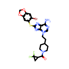 Nc1ncn(CCC2CCN(C(=O)C3CC3(F)F)CC2)c2nc(Sc3cc4c(cc3Br)OCO4)nc1-2